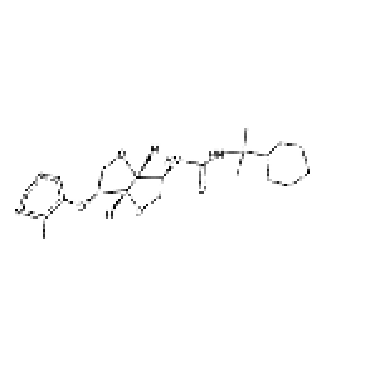 Cc1ncccc1O[C@H]1CO[C@H]2[C@@H]1OC[C@@H]2NC(=O)NC(C)(C)C1CCCCC1